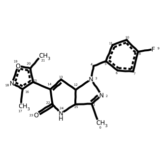 CC1=NN(Cc2ccc(F)cc2)C2C=C(c3c(C)noc3C)C(=O)NC12